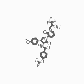 COc1ccc([C@@H]2CN(c3cccn(CC(O)C(F)(F)F)c3=O)C(=O)[C@H]2NC(=O)c2ccc(OC(F)F)cc2)cc1